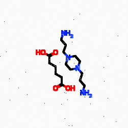 NCCCN1CCN(CCCN)CC1.O=C(O)CCCCC(=O)O